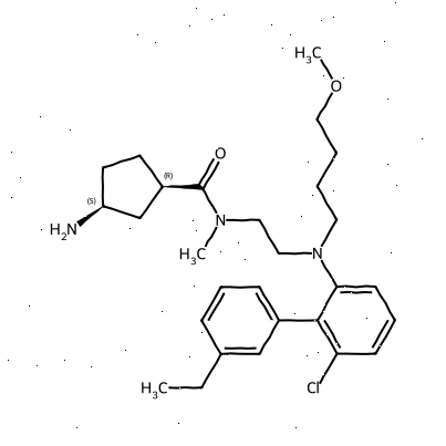 CCc1cccc(-c2c(Cl)cccc2N(CCCCOC)CCN(C)C(=O)[C@@H]2CC[C@H](N)C2)c1